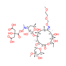 CC[C@H]1OC(=O)[C@H](C)[C@@H](O[C@H]2C[C@@](C)(OC)[C@@H](O)[C@H](C)O2)[C@H](C)[C@@H](O[C@@H]2O[C@H](C)C[C@H](N(C)C)[C@H]2O)[C@](C)(O)C[C@@H](C)/C(=N\OCOCCOC)[C@H](C)[C@@H](O)[C@]1(C)O.O=C(O)CC(O)(CC(=O)O)C(=O)O